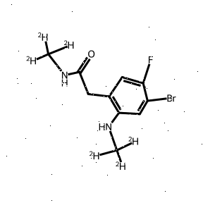 [2H]C([2H])([2H])NC(=O)Cc1cc(F)c(Br)cc1NC([2H])([2H])[2H]